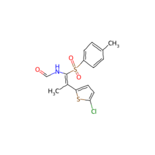 CC(=C(NC=O)S(=O)(=O)c1ccc(C)cc1)c1ccc(Cl)s1